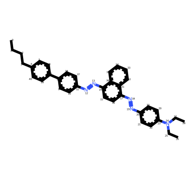 CCCCc1ccc(-c2ccc(/N=N/c3ccc(/N=N/c4ccc(N(CC)CC)cc4)c4ccccc34)cc2)cc1